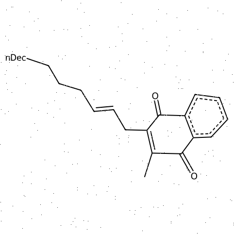 CCCCCCCCCCCCC/C=C/CC1=C(C)C(=O)c2ccccc2C1=O